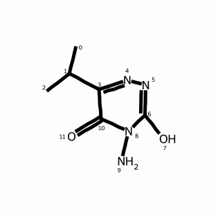 CC(C)c1nnc(O)n(N)c1=O